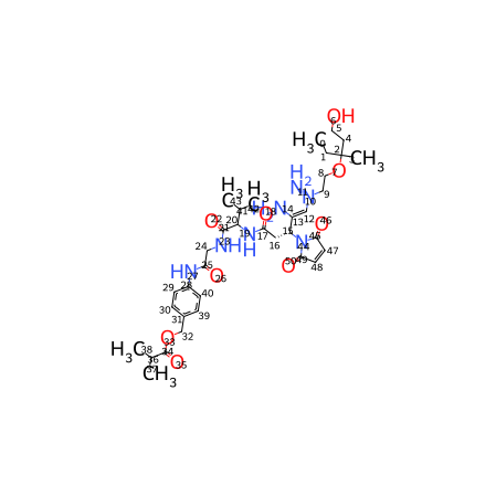 CCC(C)(CCO)OCCN(N)/C=C(\N)[C@@H](CC(=O)NC(C(=O)NCC(=O)Nc1ccc(COC(=O)C(C)C)cc1)C(C)C)N1C(=O)C=CC1=O